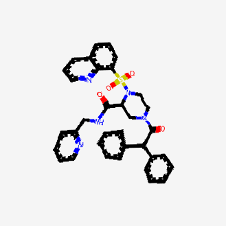 O=C(NCc1ccccn1)C1CN(C(=O)C(c2ccccc2)c2ccccc2)CCN1S(=O)(=O)c1cccc2cccnc12